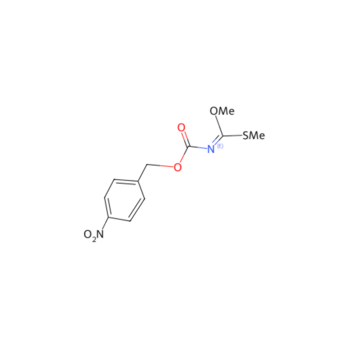 CO/C(=N\C(=O)OCc1ccc([N+](=O)[O-])cc1)SC